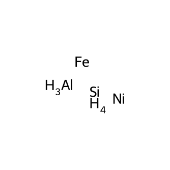 [AlH3].[Fe].[Ni].[SiH4]